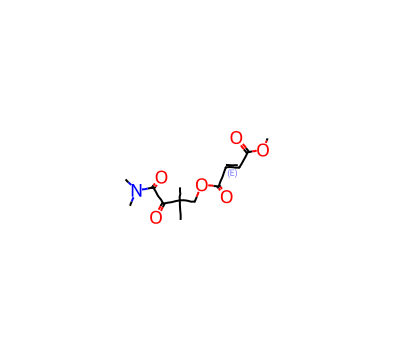 COC(=O)/C=C/C(=O)OCC(C)(C)C(=O)C(=O)N(C)C